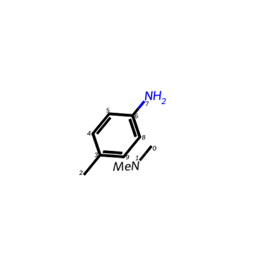 CNC.Cc1ccc(N)cc1